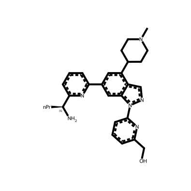 CCC[C@H](N)c1cccc(-c2cc(C3CCN(C)CC3)c3cnn(-c4cccc(CO)n4)c3c2)n1